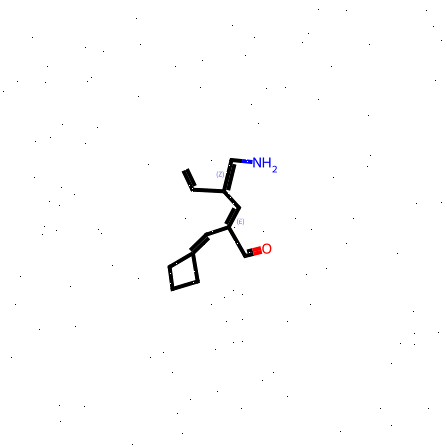 C=CC(=C/N)/C=C(/C=O)C=C1CCC1